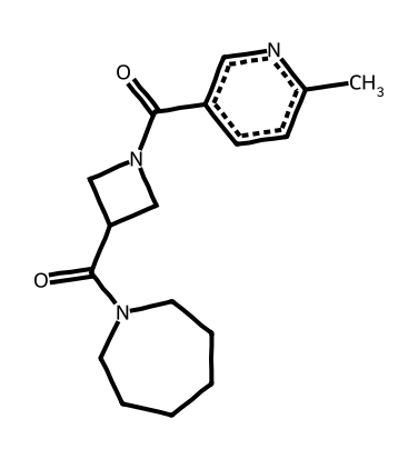 Cc1ccc(C(=O)N2CC(C(=O)N3CCCCCC3)C2)cn1